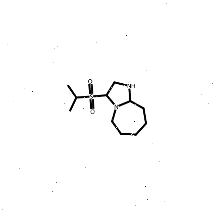 CC(C)S(=O)(=O)C1CNC2CCCCCN21